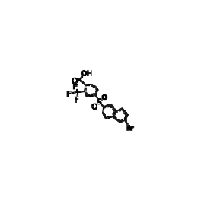 O=C(O)c1ccc(S(=O)(=O)c2ccc3cc(Br)ccc3c2)cc1C(F)(F)F